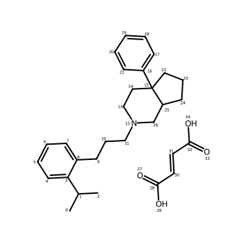 CC(C)c1ccccc1CCCN1CCC2(c3ccccc3)CCCC2C1.O=C(O)C=CC(=O)O